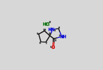 Cl.O=C1NCNC12CCCC2